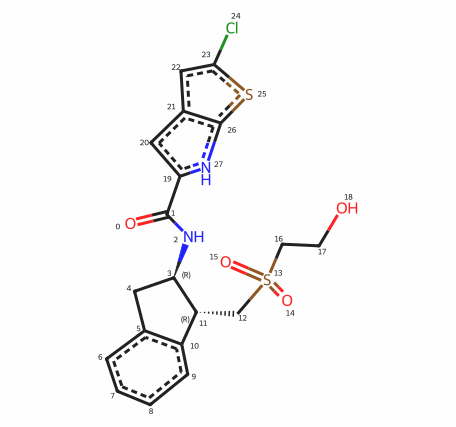 O=C(N[C@@H]1Cc2ccccc2[C@H]1CS(=O)(=O)CCO)c1cc2cc(Cl)sc2[nH]1